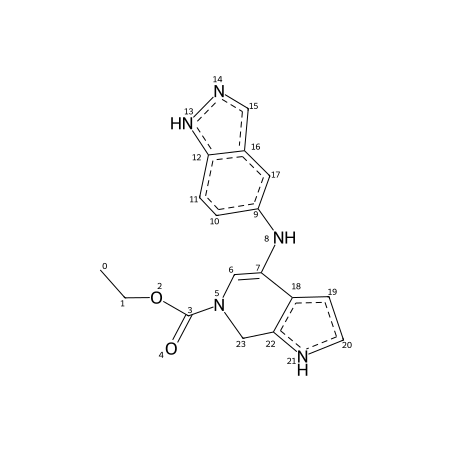 CCOC(=O)N1C=C(Nc2ccc3[nH]ncc3c2)c2cc[nH]c2C1